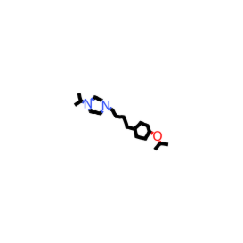 CC(C)OC1CCC(CCCCN2CCN(C(C)C)CC2)CC1